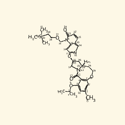 Cc1cc2c(c(OC(C)C)c1)C(=O)N1C[C@@H](Oc3cc4c(ccc(=O)n4COCC[Si](C)(C)C)cn3)C[C@@H]1CCO2